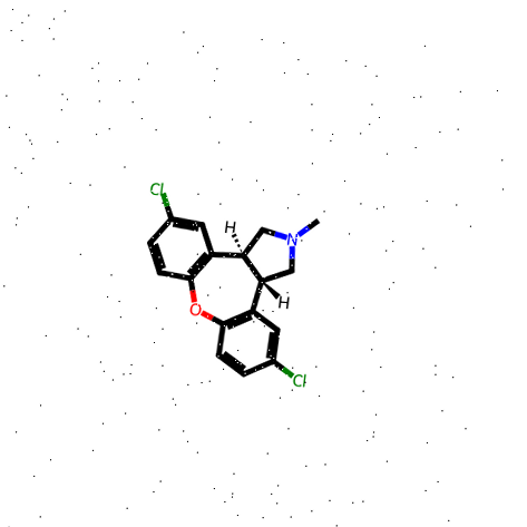 CN1C[C@@H]2c3cc(Cl)ccc3Oc3ccc(Cl)cc3[C@H]2C1